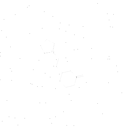 O=C1CCCC(CCN2CCCC2)C1